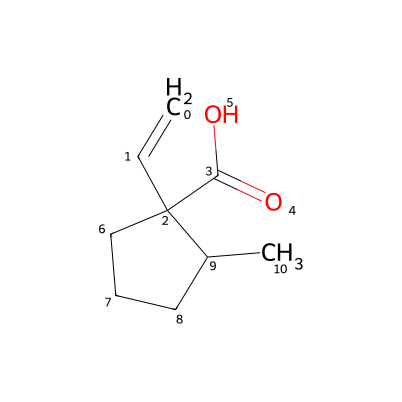 C=CC1(C(=O)O)CCCC1C